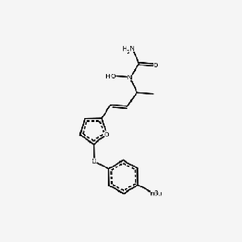 CCCCc1ccc(Oc2ccc(C=CC(C)N(O)C(N)=O)o2)cc1